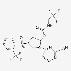 N#Cc1nccc(N2C[C@@H](S(=O)(=O)c3ccccc3C(F)(F)F)C[C@@H]2OC(=O)NCC(F)(F)F)n1